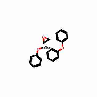 C1CO1.CCCCCCCCCOc1ccccc1.c1ccc(Oc2ccccc2)cc1